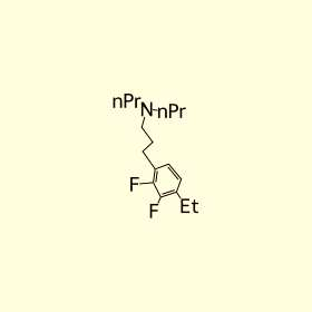 CCCN(CCC)CCCc1ccc(CC)c(F)c1F